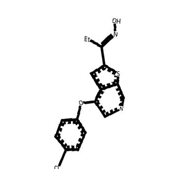 CC/C(=N\O)c1cc2c(Oc3ccc(Cl)cc3)cncc2s1